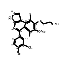 COCCOc1c(OC)c(F)c2c(-c3ccc(O)c(Cl)c3)nc3[nH]ncc3c2c1C